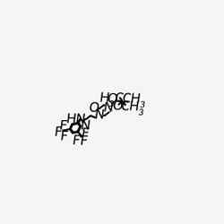 CC(C)(C)OC(=O)N1CCN(CCc2nc3c(C(F)(F)F)cc(C(F)(F)F)cc3[nH]2)C(=O)C1